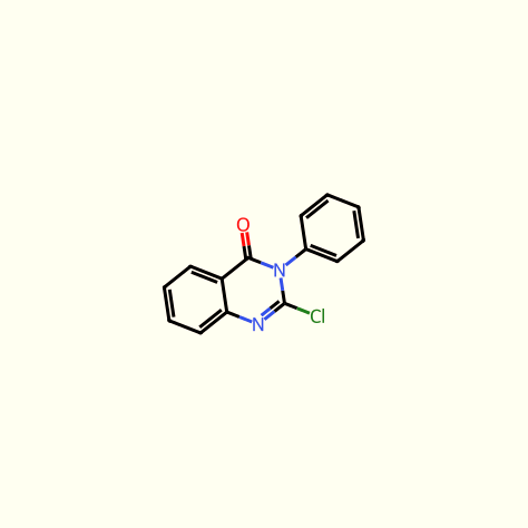 O=c1c2ccccc2nc(Cl)n1-c1ccccc1